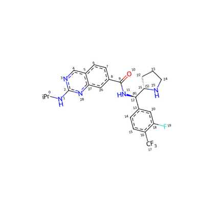 CC(C)Nc1ncc2ccc(C(=O)N[C@H](c3ccc(C(F)(F)F)c(F)c3)[C@@H]3CCCN3)cc2n1